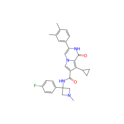 Cc1ccc(-c2cn3cc(C(=O)NC4(c5ccc(F)cc5)CN(C)C4)c(C4CC4)c3c(=O)[nH]2)cc1C